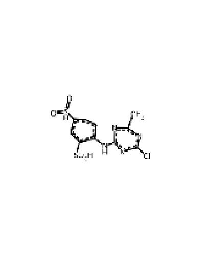 Cc1nc(Cl)nc(Nc2ccc([SH](=O)=O)cc2S(=O)(=O)O)n1